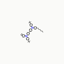 CCCCCCc1ccc(N(c2ccc(-c3ccc(N(c4ccc(C(C)(C)C)cc4)c4ccc5c(c4)CC5)cc3)cc2)c2ccc(C(C)(C)C)cc2)cc1